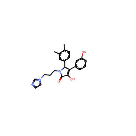 Cc1ccc(C2C(c3cccc(O)c3)=C(O)C(=O)N2CCCn2ccnc2)cc1C